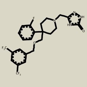 O=c1[nH]nc(CN2CCC(COCc3cc(C(F)(F)F)cc(C(F)(F)F)c3)(c3ccccc3F)CC2)[nH]1